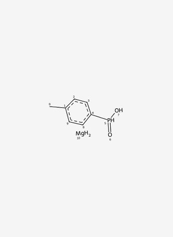 Cc1ccc([PH](=O)O)cc1.[MgH2]